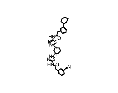 N#Cc1cccc(CC(=O)Nc2nnc([C@H]3CCC[C@H](c4nnc(NC(=O)Cc5cccc(C6CCCCC6)c5)s4)C3)s2)c1